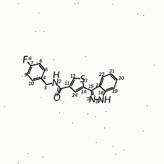 O=C(NCc1ccc(F)cc1)c1csc(-c2n[nH]c3ccccc23)c1